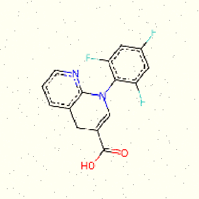 O=C(O)C1=CN(c2c(F)cc(F)cc2F)c2ncccc2C1